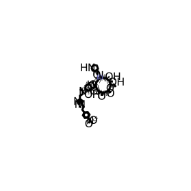 CC[C@H]1OC(=O)[C@H](C)C(=O)[C@H](C)[C@@H](O[C@@H]2O[C@H](C)C[C@H](N(C)CCc3cn(CCc4ccc([N+](=O)[O-])cc4)nn3)[C@H]2O)[C@](C)(OC)C[C@@H](C)/C(=N\O[C@@H]2CCCNC2)[C@H](C)[C@@H](O)[C@]1(C)O